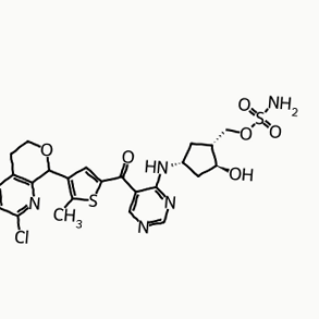 Cc1sc(C(=O)c2cncnc2N[C@@H]2C[C@H](COS(N)(=O)=O)[C@@H](O)C2)cc1C1OCCc2ccc(Cl)nc21